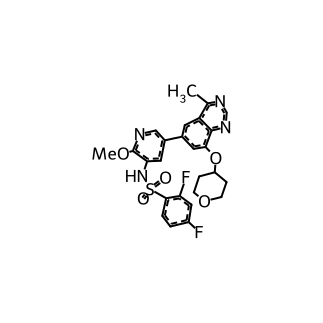 COc1ncc(-c2cc(OC3CCOCC3)c3ncnc(C)c3c2)cc1NS(=O)(=O)c1ccc(F)cc1F